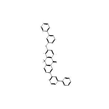 CC1(C)c2ccc(-c3cccc(-c4ccccc4)c3)cc2C(=O)c2ccc(Cc3cccc(-c4ccccc4)c3)cc21